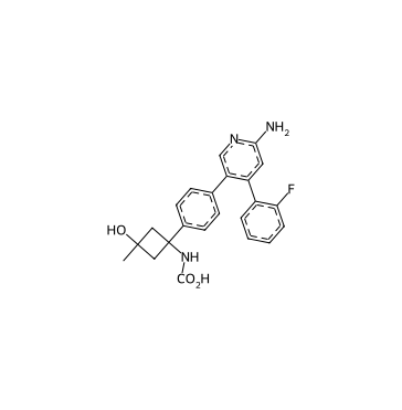 CC1(O)CC(NC(=O)O)(c2ccc(-c3cnc(N)cc3-c3ccccc3F)cc2)C1